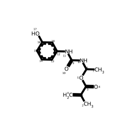 C=C(C)C(=O)OC(C)NC(=O)Nc1cccc(O)c1